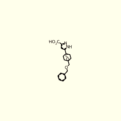 O=C(O)c1cc(C23CCC(COCc4ccccc4)(CC2)OC3)[nH]n1